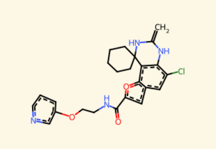 C=C1Nc2c(Cl)cc3cc(C(=O)NCCOc4cccnc4)oc3c2C2(CCCCC2)N1